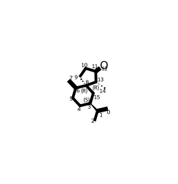 C=C(C)[C@H]1CCC(=C)[C@]2(CCC(=O)[C@@H]2C)C1